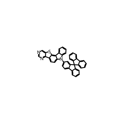 c1ccc2c(c1)-c1ccccc1C21c2ccccc2-c2ccc(-n3c4ccccc4c4c5sc6cncnc6c5ccc43)cc21